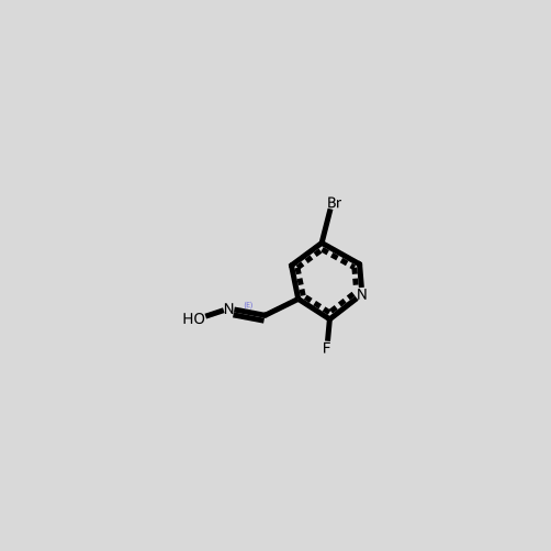 O/N=C/c1cc(Br)cnc1F